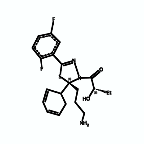 CC[C@H](O)C(=O)N1N=C(c2cc(F)ccc2F)S[C@@]1(CCCN)C1C=CC=CC1